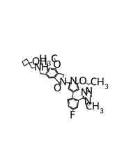 CCOc1cc(-c2ccc(F)cc2-c2nncn2C)cc(N2Cc3c(OC)cc(CNCC4(O)CCC4)cc3C2=O)n1